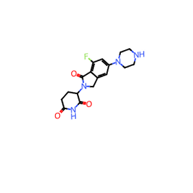 O=C1CCC(N2Cc3cc(N4CCNCC4)cc(F)c3C2=O)C(=O)N1